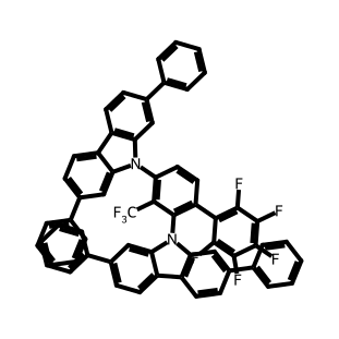 Fc1c(F)c(F)c(-c2ccc(-n3c4cc(-c5ccccc5)ccc4c4ccc(-c5ccccc5)cc43)c(C(F)(F)F)c2-n2c3cc(-c4ccccc4)ccc3c3ccc(-c4ccccc4)cc32)c(F)c1F